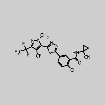 Cn1nc(C(F)(F)C(F)(F)F)c(C(F)(F)F)c1-c1nnc(-c2ccc(Cl)c(C(=O)NC3(C#N)CC3)c2)s1